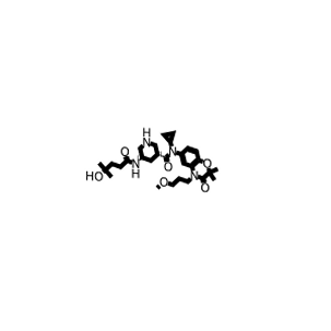 COCCCN1C(=O)C(C)(C)Oc2ccc(N(C(=O)[C@H]3CNC[C@@H](NC(=O)CCC(C)(C)O)C3)C3CC3)cc21